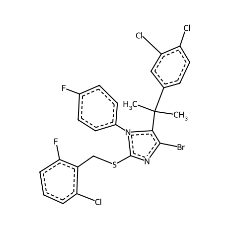 CC(C)(c1ccc(Cl)c(Cl)c1)c1c(Br)nc(SCc2c(F)cccc2Cl)n1-c1ccc(F)cc1